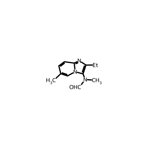 CCc1nc2ccc(C)cn2c1N(C)C=O